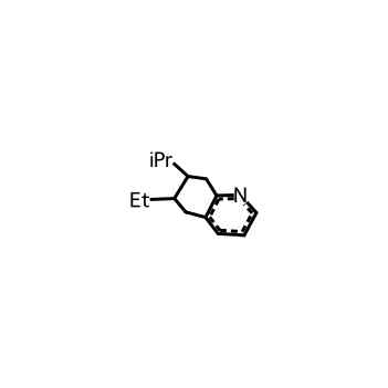 CCC1Cc2cccnc2CC1C(C)C